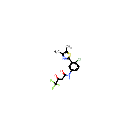 Cc1nc(-c2cc(NC(=O)CC(=O)C(F)(F)F)ccc2Cl)sc1C